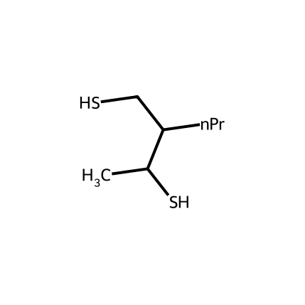 CCCC(CS)C(C)S